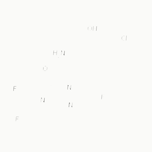 Cc1nn(-c2c(F)cc(Cl)c(O)c2N)c(=O)n1C(F)F